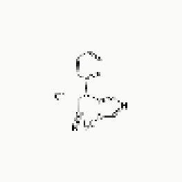 Cn1cncc1C(C[N+]#N)c1ccccc1.[Cl-]